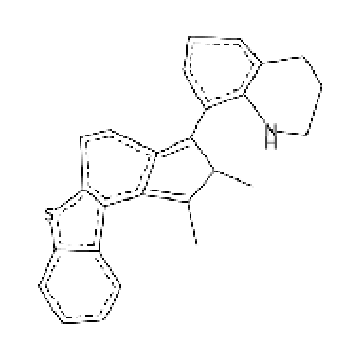 CC1=c2c(ccc3sc4ccccc4c23)=C(c2cccc3c2NCCC3)C1C